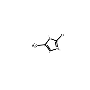 Cc1[c]nc(Cl)s1